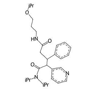 CC(C)OCCCNC(=O)CC(c1ccccc1)C(C(=O)N(C(C)C)C(C)C)c1cccnc1